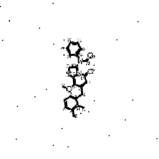 COc1c(Cc2cccc(C)c2C)cc(=O)n2c1SC[C@@H]2N(C=O)c1ccccc1